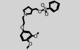 COc1ccc(OCCN2CCC(COS(=O)(=O)c3ccccc3)C2)cc1OC